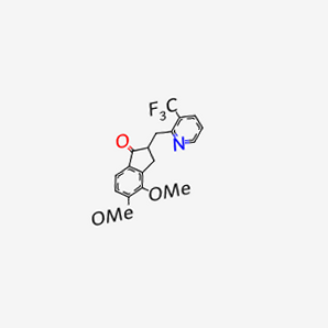 COc1ccc2c(c1OC)CC(Cc1ncccc1C(F)(F)F)C2=O